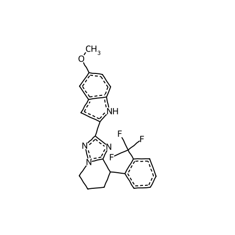 COc1ccc2[nH]c(-c3nc4n(n3)CCCC4c3ccccc3C(F)(F)F)cc2c1